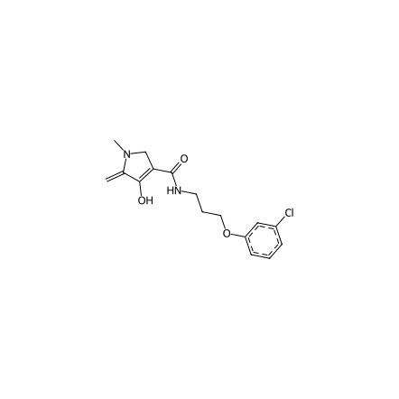 C=C1C(O)=C(C(=O)NCCCOc2cccc(Cl)c2)CN1C